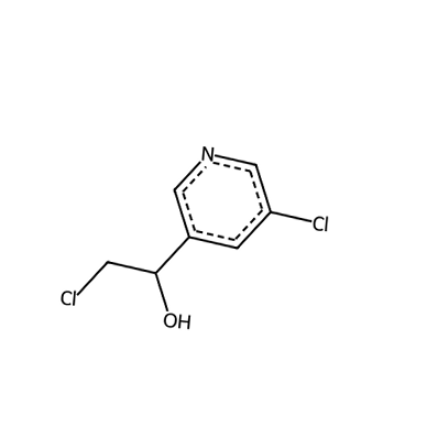 OC(CCl)c1cncc(Cl)c1